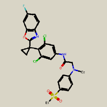 CCN(CC(=O)Nc1cc(Cl)c(C2(c3nc4ccc(F)cc4o3)CC2)c(Cl)c1)c1ccc(S(=O)(=O)CC)cc1